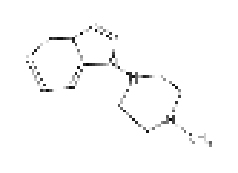 CN1CCN(n2ccc3ccccc32)CC1